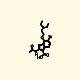 CCN(CC)CCOc1c(Br)ccc2c(C(=O)O)c(NC(C)=O)sc12